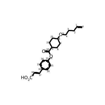 C=CCCCOC1CCC(C(=O)Oc2ccc(C=CC(=O)O)cc2)CC1